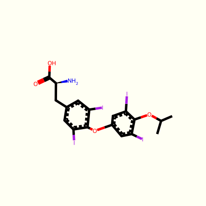 CC(C)Oc1c(I)cc(Oc2c(I)cc(C[C@H](N)C(=O)O)cc2I)cc1I